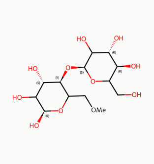 COCC1O[C@@H](O)C(O)[C@H](O)[C@H]1O[C@@H]1OC(CO)[C@H](O)[C@@H](O)C1O